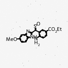 CCOC(=O)c1ccc(N)c(C(=S=O)c2nc3cc(OC)ccc3[nH]2)c1